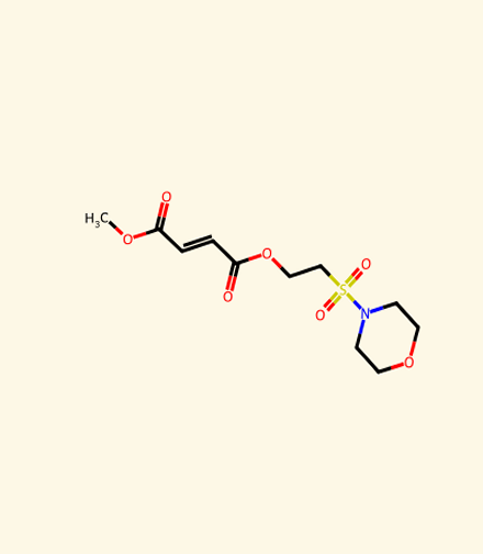 COC(=O)/C=C/C(=O)OCCS(=O)(=O)N1CCOCC1